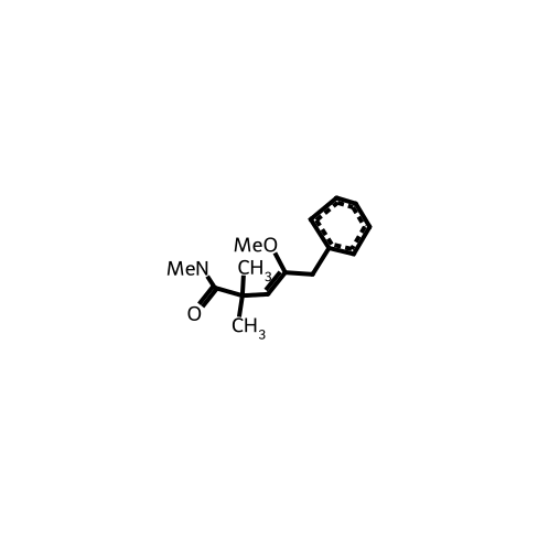 CNC(=O)C(C)(C)/C=C(/Cc1ccccc1)OC